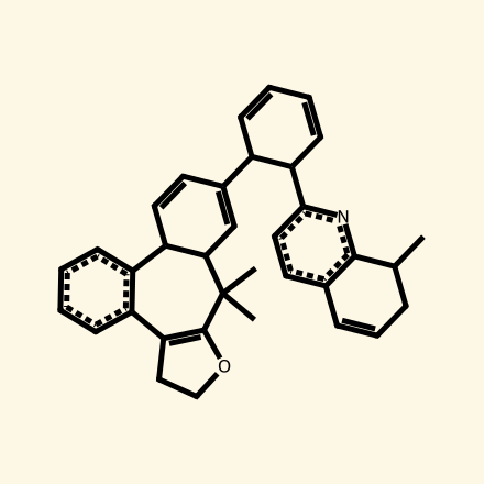 CC1CC=Cc2ccc(C3C=CC=CC3C3=CC4C(C=C3)c3ccccc3C3=C(OCC3)C4(C)C)nc21